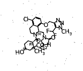 Cn1nnc(COc2ccc(Cl)c3c2[C@@H](CN2CC4(CC4)CC2=O)N(C(=O)[C@@H]2CC[C@H](O)C[C@]2(C)C(=O)O)CC3)c1C(F)F